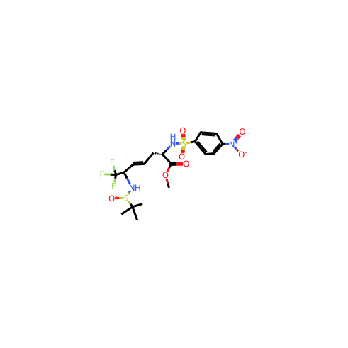 COC(=O)[C@H](C/C=C/C(N[S+]([O-])C(C)(C)C)C(F)(F)F)NS(=O)(=O)c1ccc([N+](=O)[O-])cc1